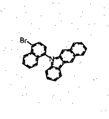 Brc1ccc(-n2c3ccccc3c3cc4ccccc4cc32)c2ccccc12